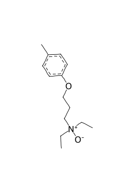 CC[N+]([O-])(CC)CCCOc1ccc(C)cc1